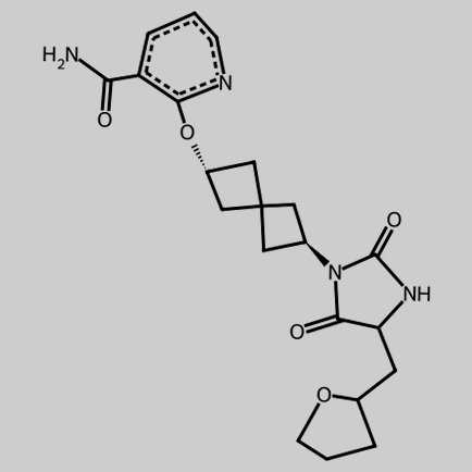 NC(=O)c1cccnc1O[C@H]1CC2(C1)C[C@H](N1C(=O)NC(CC3CCCO3)C1=O)C2